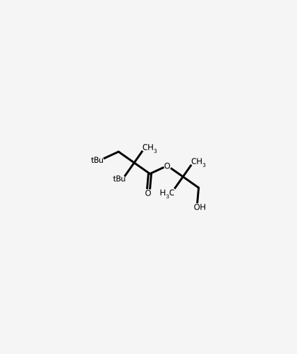 CC(C)(C)CC(C)(C(=O)OC(C)(C)CO)C(C)(C)C